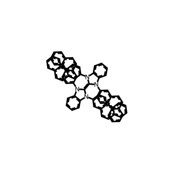 c1ccc2c(c1)N(c1ccc3c(ccc4ccccc43)c1)C(=C1N(c3ccc4c(ccc5ccccc54)c3)c3ccccc3N1c1ccc3c(ccc4ccccc43)c1)N2c1ccc2c(ccc3ccccc32)c1